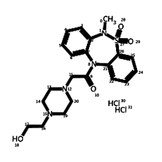 CN1c2ccccc2N(C(=O)CN2CCN(CCO)CC2)c2ccccc2S1(=O)=O.Cl.Cl